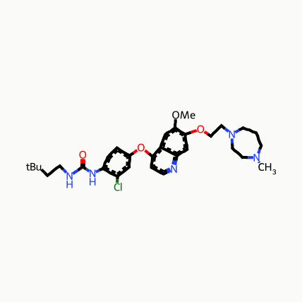 COc1cc2c(Oc3ccc(NC(=O)NCCC(C)(C)C)c(Cl)c3)ccnc2cc1OCCN1CCCN(C)CC1